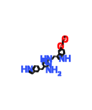 COCCOc1ccc2[nH]cc(CCNc3ncc(Cc4ccc5[nH]ccc5c4)c(N)n3)c2c1